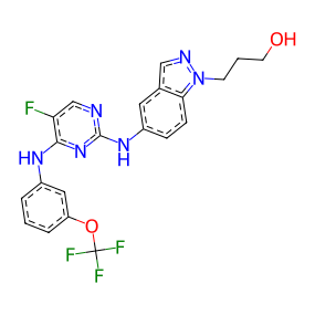 OCCCn1ncc2cc(Nc3ncc(F)c(Nc4cccc(OC(F)(F)F)c4)n3)ccc21